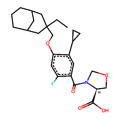 CCC1(COc2cc(F)c(C(=O)N3COC[C@H]3C(=O)O)cc2C2CC2)CC2CCCC(C2)C1